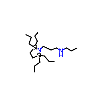 [CH2]CCNCCCN1[Si](CCC)(CCC)CC[Si]1(CCC)CCC